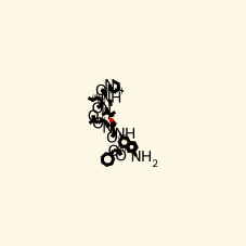 CC[C@H](C)[C@H](NC(=O)[C@H]1C[C@H](C)CCN1C)C(=O)N(CC)C(C[C@@H](OC(C)=O)c1nc(C(=O)N[C@H]2Cc3ccc(N)cc3[C@H](C(=O)OC3CCCCCC3)C2)cs1)C(C)C